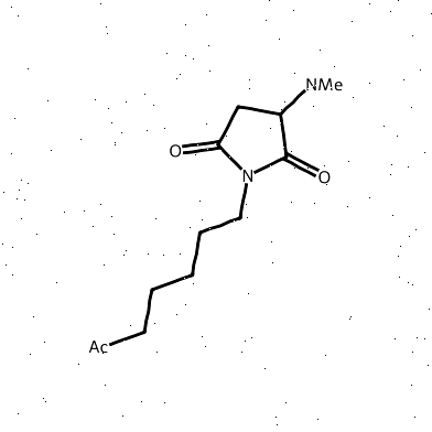 CNC1CC(=O)N(CCCCCC(C)=O)C1=O